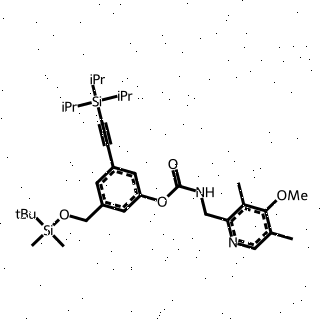 COc1c(C)cnc(CNC(=O)Oc2cc(C#C[Si](C(C)C)(C(C)C)C(C)C)cc(CO[Si](C)(C)C(C)(C)C)c2)c1C